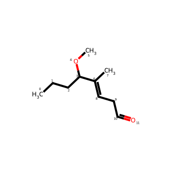 CCCC(OC)C(C)=CCC=O